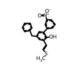 CSC=Cc1cc(Cc2ccccc2)cc(-c2cccc([N+](=O)[O-])c2)c1O